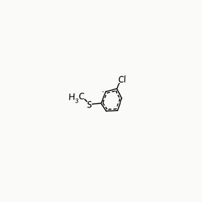 CSc1[c]c(Cl)ccc1